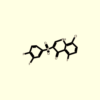 O=c1c(S(=O)(=O)c2ccc(F)c(F)c2)c[nH]c2c(Cl)ccc(F)c12